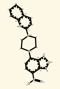 O=[N+]([O-])c1ccc(N2CCN(c3ccc4ccccc4n3)CC2)c2nonc12